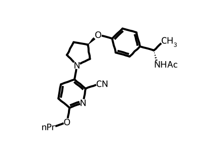 CCCOc1ccc(N2CC[C@@H](Oc3ccc([C@H](C)NC(C)=O)cc3)C2)c(C#N)n1